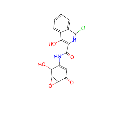 O=C(NC1=CC(=O)C2OC2C1O)c1nc(Cl)c2ccccc2c1O